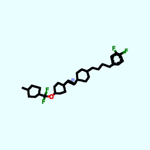 CC1CCC(C(F)(F)OC2CCC(/C=C/C3CCC(CCCCc4ccc(F)c(F)c4)CC3)CC2)CC1